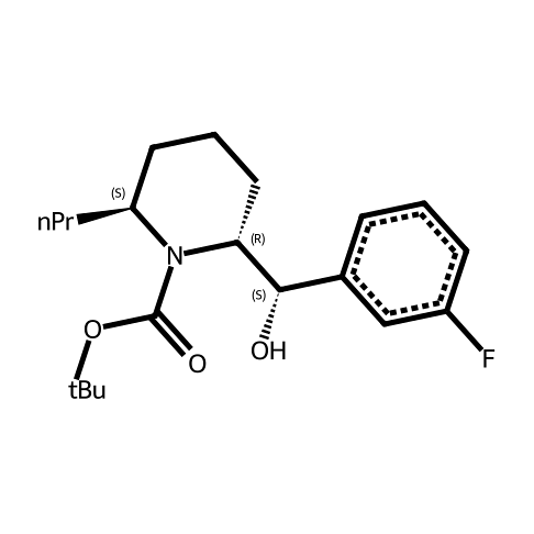 CCC[C@H]1CCC[C@H]([C@@H](O)c2cccc(F)c2)N1C(=O)OC(C)(C)C